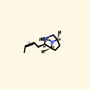 C/C=C\C[C@H]1NC[C@H]2CC[C@@H]1N2C(=O)O